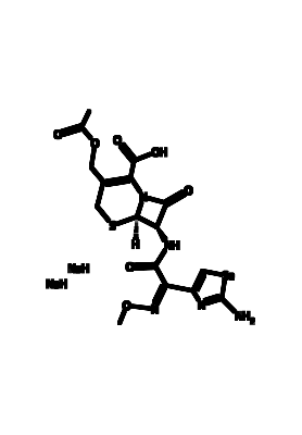 CO/N=C(\C(=O)N[C@@H]1C(=O)N2C(C(=O)O)=C(COC(C)=O)CS[C@H]12)c1c[se]c(N)n1.[NaH].[NaH]